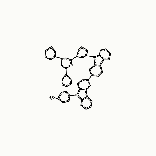 Cc1ccc(-n2c3ccccc3c3cc(-c4ccc5c6ccccc6n(-c6cccc(-c7cc(-c8ccccc8)cc(-c8ccccc8)n7)c6)c5c4)ccc32)cc1